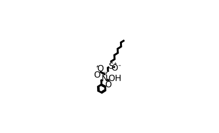 CCCCCCCC[S+]([O-])CC[C@@H](C(=O)OC)N(Cc1ccccc1)C(=O)O